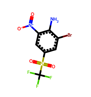 Nc1c(Br)cc(S(=O)(=O)C(F)(F)F)cc1[N+](=O)[O-]